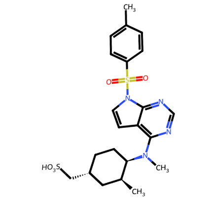 Cc1ccc(S(=O)(=O)n2ccc3c(N(C)[C@@H]4CC[C@@H](CS(=O)(=O)O)C[C@@H]4C)ncnc32)cc1